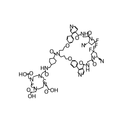 N#C[C@@H]1CC(F)(F)CN1C(=O)CNC(=O)c1ccncc1-c1ccc(OCCCN(CCCOc2ccc(-c3cnccc3C(=O)NCC(=O)N3CC(F)(F)C[C@H]3C#N)cc2)C(=O)C2CCC(CNC(=O)CN3CCN(CC(=O)O)CCN(CC(=O)O)CCN(CC(=O)O)CC3)CC2)cc1